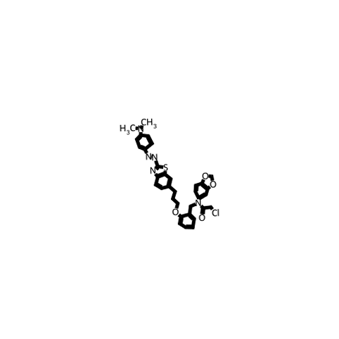 CN(C)c1ccc(/N=N/c2nc3ccc(CCCOc4ccccc4CN(C(=O)CCl)c4ccc5c(c4)OCO5)cc3s2)cc1